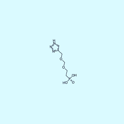 O=P(O)(O)CCOCOCc1c[nH]nn1